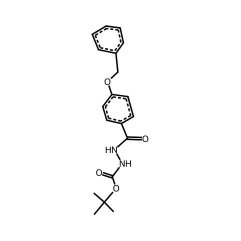 CC(C)(C)OC(=O)NNC(=O)c1ccc(OCc2ccccc2)cc1